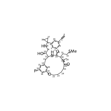 C#Cc1cccc(C2(NCC(O)C3Cc4cc(F)cc(c4)OCCCCC(=O)N(C)C(CCSC)C(=O)N3)CC2)c1